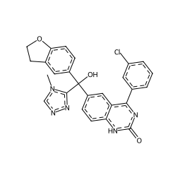 Cn1cnnc1C(O)(c1ccc2c(c1)CCO2)c1ccc2[nH]c(=O)nc(-c3cccc(Cl)c3)c2c1